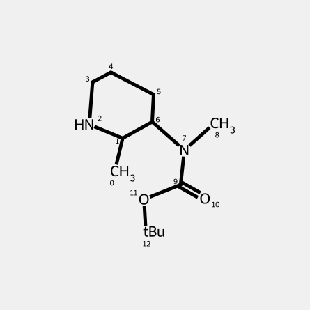 CC1NCCCC1N(C)C(=O)OC(C)(C)C